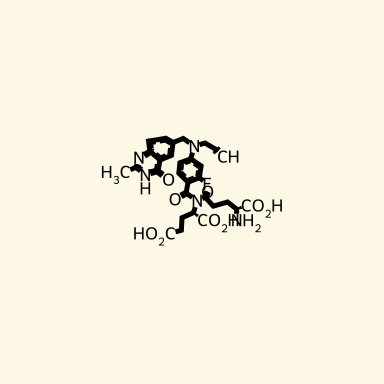 C#CCN(Cc1ccc2nc(C)[nH]c(=O)c2c1)c1ccc(C(=O)N(C(=O)CC[C@H](N)C(=O)O)[C@H](CCC(=O)O)C(=O)O)c(F)c1